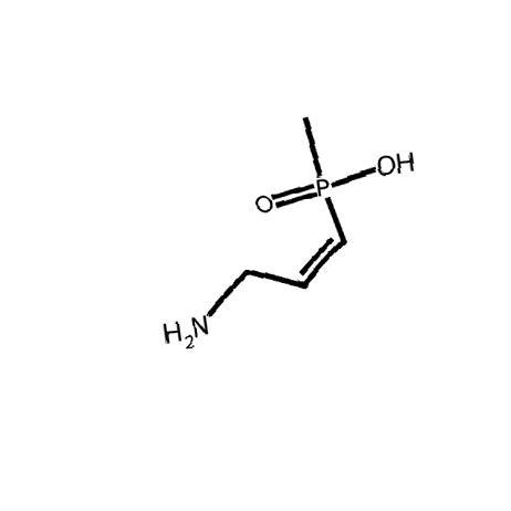 CP(=O)(O)/C=C\CN